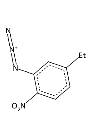 CCc1ccc([N+](=O)[O-])c(N=[N+]=[N-])c1